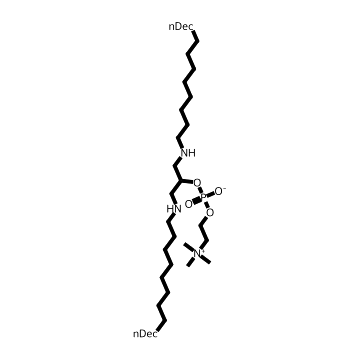 CCCCCCCCCCCCCCCCCCNCC(CNCCCCCCCCCCCCCCCCCC)OP(=O)([O-])OCC[N+](C)(C)C